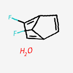 FC1=C2C=CC(=C1)C2F.O